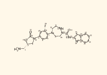 NC[C@H]1CN(c2ccc(N3CCNN(C(=O)Nc4nc5ccccc5s4)CC3)c(F)c2)C(=O)O1